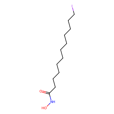 O=C(CCCCCCCCCCCI)NO